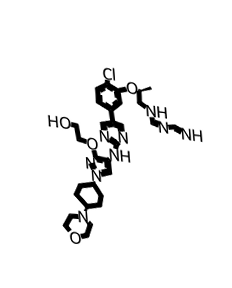 C[C@@H](CN/C=N\C=N)Oc1cc(-c2cnc(Nc3cn([C@H]4CC[C@H](N5CCOCC5)CC4)nc3OCCO)nc2)ccc1Cl